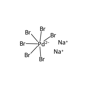 [Br][Pd-2]([Br])([Br])([Br])([Br])[Br].[Na+].[Na+]